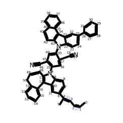 C/C=C\C=C(/C)c1ccc2c(c1)c1c(n2-c2cc(C#N)c(-n3c4ccc(C5=C=C=CC=C5)cc4c4c5ccccc5ccc43)cc2C#N)C=CCc2ccccc2-1